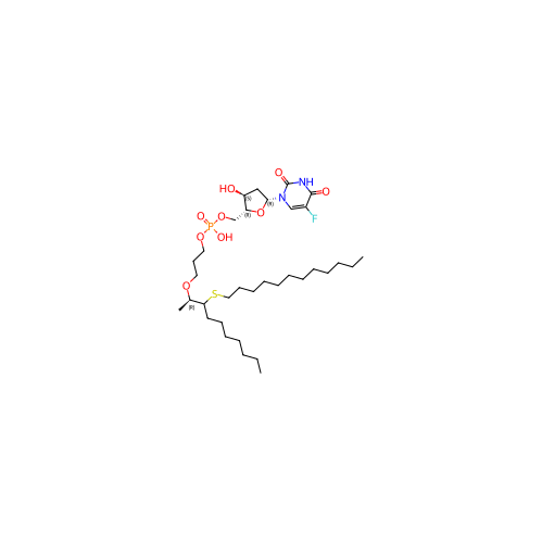 CCCCCCCCCCCCSC(CCCCCCC)[C@@H](C)OCCCOP(=O)(O)OC[C@H]1O[C@@H](n2cc(F)c(=O)[nH]c2=O)C[C@@H]1O